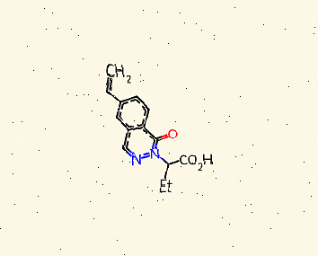 C=Cc1ccc2c(=O)n(C(CC)C(=O)O)ncc2c1